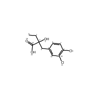 CCC(O)(Cc1ccc(Cl)c(Cl)c1)C(=O)O